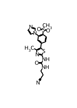 Cc1nc(NC(=O)NCCC#N)sc1-c1ccc(S(C)(=O)=O)c(-n2ccnc2)c1